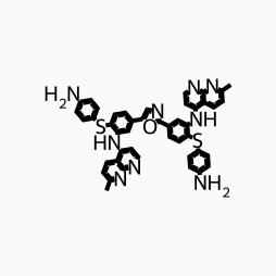 Cc1ccc2c(Nc3cc(-c4cnc(-c5ccc(Sc6ccc(N)cc6)c(Nc6ccnc7nc(C)ccc67)c5)o4)ccc3Sc3ccc(N)cc3)ccnc2n1